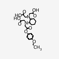 CCOc1ccc(OC(=O)CN(CC(=O)O)[C@H]2CCCC[C@@H]2N(CC(=O)O)CC(=O)O)cc1